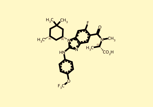 C[C@H]1C[C@@H](n2c(Nc3ccc(OC(F)(F)F)cc3)nc3cc(C(=O)N(C)[C@@H](C)C(=O)O)c(F)cc32)CC(C)(C)C1